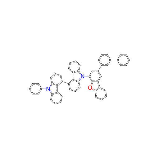 c1ccc(-c2cccc(-c3cc(-n4c5ccccc5c5c(-c6cccc7c6c6ccccc6n7-c6ccccc6)cccc54)c4oc5ccccc5c4c3)c2)cc1